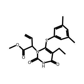 C=CC(C(=O)OC)n1c(Sc2cc(C)cc(C)c2)c(CC)c(=O)[nH]c1=O